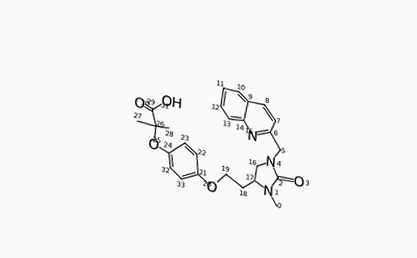 CN1C(=O)N(Cc2ccc3ccccc3n2)CC1CCOc1ccc(OC(C)(C)C(=O)O)cc1